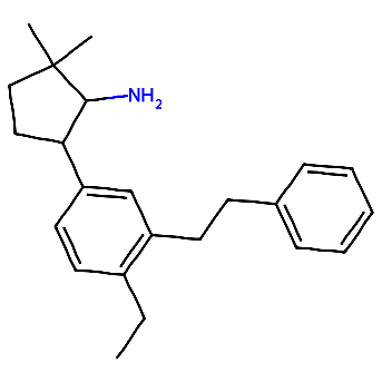 CCc1ccc(C2CCC(C)(C)C2N)cc1CCc1ccccc1